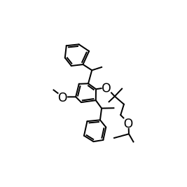 COc1cc(C(C)c2ccccc2)c(OC(C)(C)CCOC(C)C)c(C(C)c2ccccc2)c1